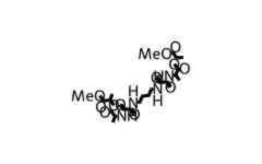 COC(=O)C(C)OC(=O)C(C)NC(=O)C(=O)NCCCCNC(=O)C(=O)NC(C)C(=O)OC(C)C(=O)OC